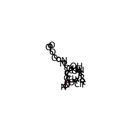 Cc1c(Cl)c2c(Cl)c(C)c1-c1c(-c3ccc(F)cc3)sc3ncnc(c13)O[C@@H](C(=O)O)Cc1cc(ccc1OCc1ccnc(C3CCC(OCCOCC4COCCO4)CC3)n1)OC[C@@H](CN1CCN(C)CC1)O2